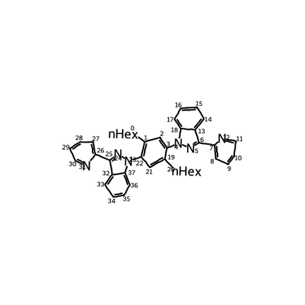 CCCCCCc1cc(-n2nc(-c3ccccn3)c3ccccc32)c(CCCCCC)cc1-n1nc(-c2ccccn2)c2ccccc21